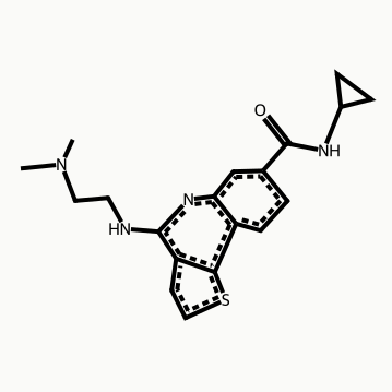 CN(C)CCNc1nc2cc(C(=O)NC3CC3)ccc2c2sccc12